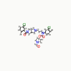 CC(=O)N1CCC(OC(=O)N(CCCN2CC3CN(C(=O)c4cc(Cl)ccc4C)CC3C2)c2ccc(C)c(Cl)c2)CC1